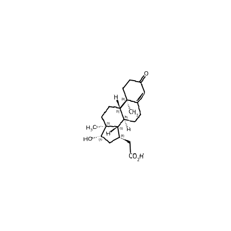 C[C@]12CC[C@H]3[C@@H](CCC4=CC(=O)CC[C@@]43C)[C@@H]1[C@@H](CC(=O)O)C[C@@H]2O